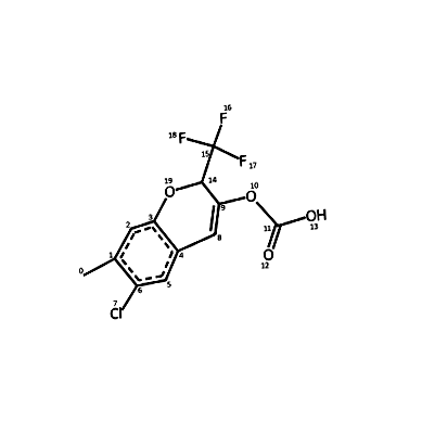 Cc1cc2c(cc1Cl)C=C(OC(=O)O)C(C(F)(F)F)O2